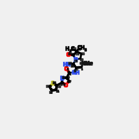 CN/C=C(/NC(=O)c1coc(-c2cccs2)n1)C(=N)N1CCC(C)(C)C1=O